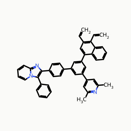 C=Cc1cc(-c2cc(-c3ccc(-c4nc5ccccn5c4-c4ccccc4)cc3)cc(-c3cc(C)nc(C)c3)c2)c2ccccc2c1C=C